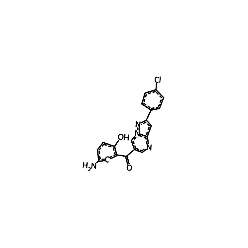 Nc1ccc(O)c(C(=O)c2cnc3cc(-c4ccc(Cl)cc4)nn3c2)c1